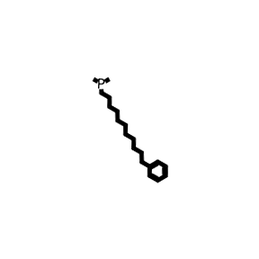 CP(C)CCCCCCCCCCCc1ccccc1